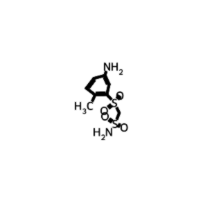 Cc1ccc(N)cc1S(=O)(=O)CS(N)(=O)=O